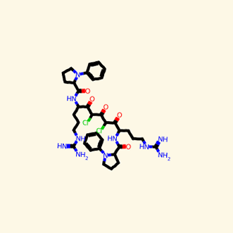 N=C(N)NCCCC(NC(=O)C1CCCN1c1ccccc1)C(=O)C(Cl)C(=O)C(Cl)C(=O)C(CCCNC(=N)N)NC(=O)C1CCCN1c1ccccc1